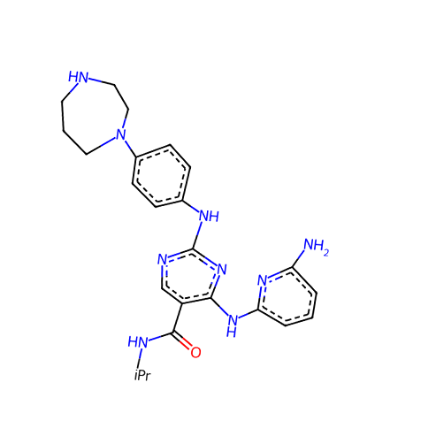 CC(C)NC(=O)c1cnc(Nc2ccc(N3CCCNCC3)cc2)nc1Nc1cccc(N)n1